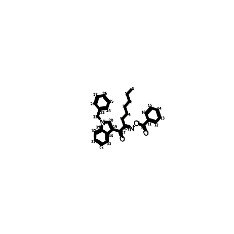 CCCCCC/C(=N\OC(=O)c1ccccc1)C(=O)c1cn(Cc2ccccc2)c2ccccc12